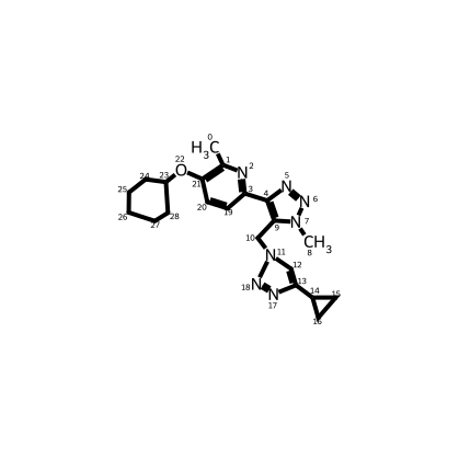 Cc1nc(-c2nnn(C)c2Cn2cc(C3CC3)nn2)ccc1OC1CCCCC1